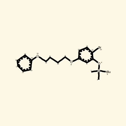 CC(C)(C)[Si](C)(C)Oc1cc(OCCCCOc2ccccc2)ccc1Br